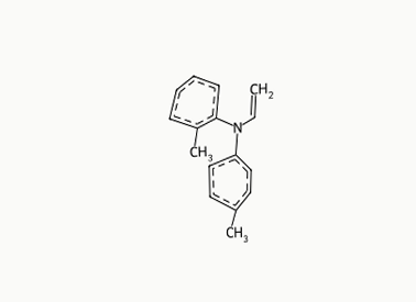 C=CN(c1ccc(C)cc1)c1ccccc1C